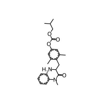 Cc1cc(OC(=O)OCC(C)C)cc(C)c1CC(N)C(=O)N(C)c1ccccc1